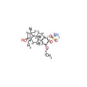 CCOc1cc2c(cc1OS(N)(=O)=O)CC[C@@H]1[C@@H]2CC[C@]2(C)[C@@H](O)C[C@@H]3C[C@]312